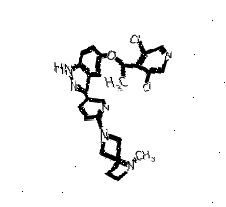 CC(Oc1ccc2[nH]nc(-c3ccc(N4CC5(CCN5C)C4)nc3)c2c1)c1c(Cl)cncc1Cl